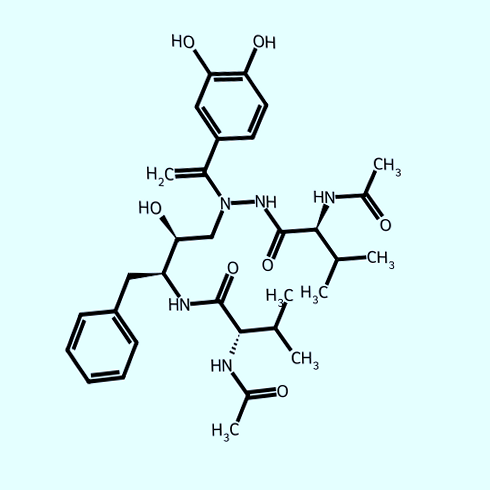 C=C(c1ccc(O)c(O)c1)N(C[C@H](O)[C@H](Cc1ccccc1)NC(=O)[C@@H](NC(C)=O)C(C)C)NC(=O)[C@@H](NC(C)=O)C(C)C